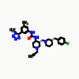 C#CCN1CC[C@@H](NC(=O)Nc2cc(C)cc(-c3nnnn3C)c2)[C@H](CN2CCC[C@@H](Cc3ccc(F)cc3)C2)C1